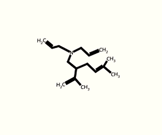 C=CCN(CC=C)CC(CC=C(C)C)C(=C)C